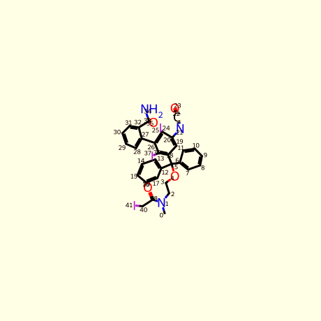 CN(CCOC(c1ccccc1)(c1ccccc1)c1cc(N=C=O)c(I)c(-c2ccccc2C(N)=O)c1I)C(=O)CI